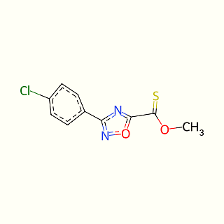 COC(=S)c1nc(-c2ccc(Cl)cc2)no1